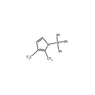 CC(C)[Si](C(C)C)(C(C)C)n1ccc(C(F)(F)F)c1C(F)(F)F